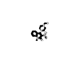 Cn1c(=O)c([N+](=O)[O-])c(N2CCN(C=O)CC2)c2ccccc21